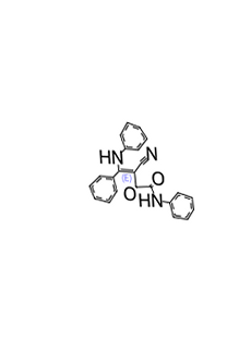 N#C/C(C(=O)C(=O)Nc1ccccc1)=C(\Nc1ccccc1)c1ccccc1